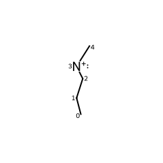 CCC[N+]C